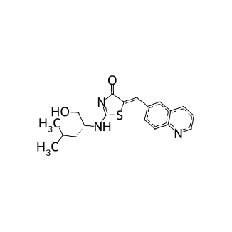 CC(C)C[C@H](CO)NC1=NC(=O)/C(=C/c2ccc3ncccc3c2)S1